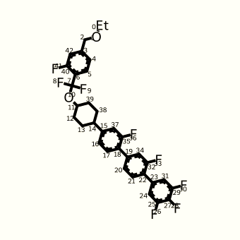 CCOCc1ccc(C(F)(F)OC2CCC(c3ccc(-c4ccc(-c5cc(F)c(F)c(F)c5)c(F)c4)c(F)c3)CC2)c(F)c1